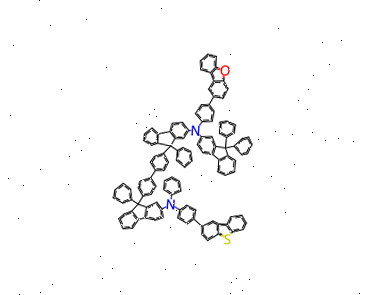 c1ccc(N(c2ccc(-c3ccc4sc5ccccc5c4c3)cc2)c2ccc3c(c2)C(c2ccccc2)(c2ccc(-c4ccc(C5(c6ccccc6)c6ccccc6-c6ccc(N(c7ccc(-c8ccc9oc%10ccccc%10c9c8)cc7)c7ccc8c(c7)C(c7ccccc7)(c7ccccc7)c7ccccc7-8)cc65)cc4)cc2)c2ccccc2-3)cc1